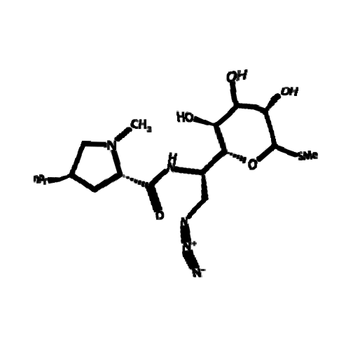 CCC[C@@H]1C[C@@H](C(=O)N[C@H](CN=[N+]=[N-])[C@H]2OC(SC)[C@H](O)C(O)[C@@H]2O)N(C)C1